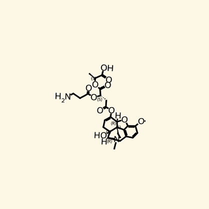 COc1ccc2c3c1O[C@H]1C(OC(=O)C[C@H](OC(=O)CCN)C(=O)O[C@@H](C)C(=O)O)=CC[C@@]4(O)[C@@H](C2)N(C)CC[C@]314